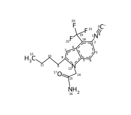 [C-]#[N+]c1ccc2c(cc(CCCC)n2CC(N)=O)c1C(F)(F)F